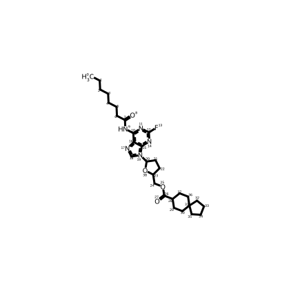 CCCCCCCC(=O)Nc1nc(F)nc2c1ncn2C1CCC(COC(=O)C2CCC3(CCCC3)CC2)O1